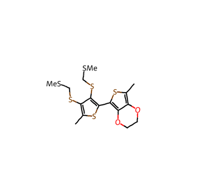 CSCSc1c(C)sc(-c2sc(C)c3c2OCCO3)c1SCSC